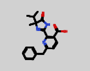 CC(C)C1(C)N=C(c2nc(Cc3ccccc3)ccc2C(=O)O)NC1=O